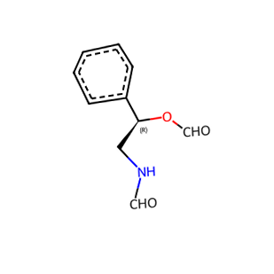 O=CNC[C@H](OC=O)c1ccccc1